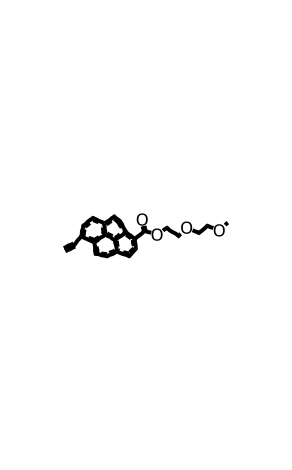 C#Cc1ccc2ccc3c(C(=O)OCCOCCOC)ccc4ccc1c2c43